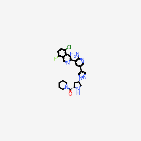 Nc1ncc(-c2cnn([C@@H]3CN[C@H](C(=O)N4CCCCC4)C3)c2)cc1-c1cc2c(Cl)ccc(F)c2cn1